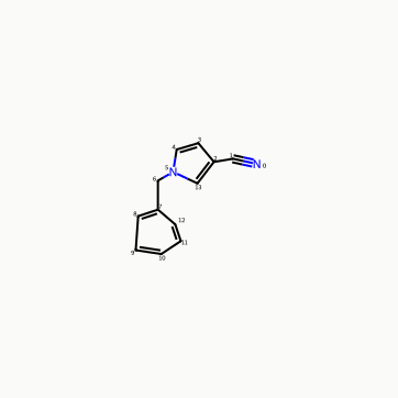 N#Cc1ccn(Cc2ccccc2)c1